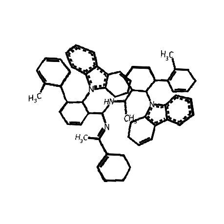 CC1=CC=CCC1C1CC=CC(C(/N=C(\C)C2=CCCCC2)NC(C)C2CCCC(C3=C(C)CCC=C3)C2n2c3c(c4ccccc42)C=CCC3)C1n1c2c(c3ccccc31)C=CCC2